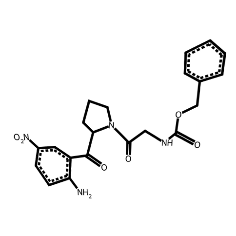 Nc1ccc([N+](=O)[O-])cc1C(=O)C1CCCN1C(=O)CNC(=O)OCc1ccccc1